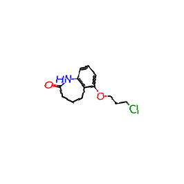 O=C1CCCc2c(cccc2OCCCCl)N1